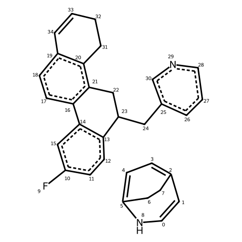 C1=CC2=CC=C(CC2)N1.Fc1ccc2c(c1)-c1ccc3c(c1CC2Cc1cccnc1)CCC=C3